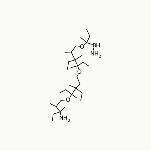 CCC(C)(BN)OCC(C)C(C)(CC)C(C)(CC)OCCC(C)(CC)C(C)(CC)OCC(C)C(C)(N)CC